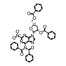 O=C(OC[C@@H]1C[C@H](OC(=O)c2ccccc2)[C@H](n2cnc3c(N(C(=O)c4ccccc4)C(=O)c4ccccc4)nc([N+](=O)[O-])nc32)O1)c1ccccc1